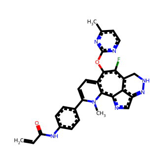 C=CC(=O)Nc1ccc(C2=CC=c3c(Oc4nccc(C)n4)c(F)c4c5c(cnc-5c3N2C)=NNC4)cc1